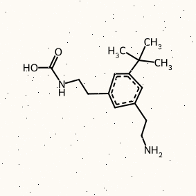 CC(C)(C)c1cc(CCN)cc(CCNC(=O)O)c1